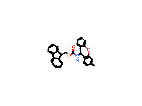 Cc1ccc2c(c1)Oc1ccccc1C2NC(=O)OCC1c2ccccc2-c2ccccc21